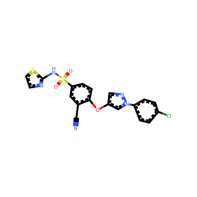 N#Cc1cc(S(=O)(=O)Nc2nccs2)ccc1Oc1cnn(-c2ccc(Cl)cc2)c1